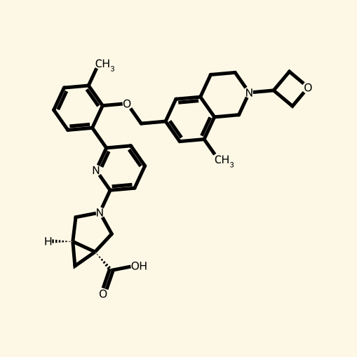 Cc1cc(COc2c(C)cccc2-c2cccc(N3C[C@@H]4C[C@]4(C(=O)O)C3)n2)cc2c1CN(C1COC1)CC2